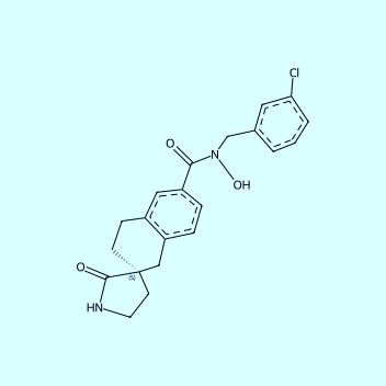 O=C(c1ccc2c(c1)CC[C@@]1(CCNC1=O)C2)N(O)Cc1cccc(Cl)c1